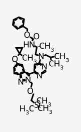 CC(C)CN(C[C@@H](C)NC(=O)OCc1ccccc1)c1cc(-c2c3cc(OC4(C)CC4)ccc3nn2COCC[Si](C)(C)C)ncn1